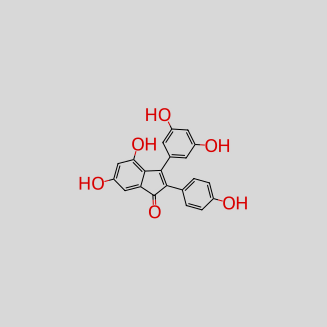 O=C1C(c2ccc(O)cc2)=C(c2cc(O)cc(O)c2)c2c(O)cc(O)cc21